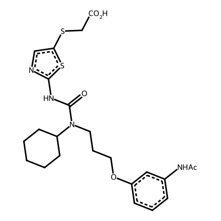 CC(=O)Nc1cccc(OCCCN(C(=O)Nc2ncc(SCC(=O)O)s2)C2CCCCC2)c1